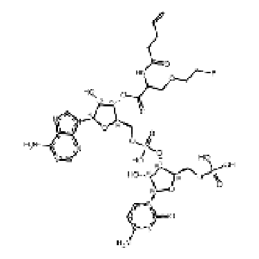 C=CCCC(=O)NC(COCCC(C)C)C(=O)O[C@H]1[C@@H](O)[C@H](n2cnc3c(N)ncnc32)O[C@@H]1COP(=O)(O)O[C@H]1[C@@H](O)[C@H](n2ccc(N)nc2=O)O[C@@H]1COP(=O)(O)O